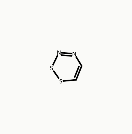 C1=CSSN=N1